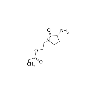 CCC(=O)OCCN1CCC(N)C1=O